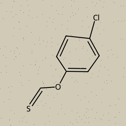 S=COc1ccc(Cl)cc1